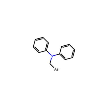 [As]CN(c1ccccc1)c1ccccc1